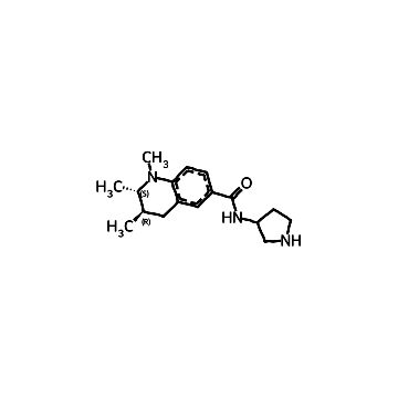 C[C@@H]1Cc2cc(C(=O)NC3CCNC3)ccc2N(C)[C@H]1C